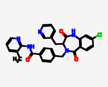 Cc1cccnc1NC(=O)c1ccc(CN2C(=O)c3ccc(Cl)cc3NC(=O)C2Cc2cccnc2)cc1